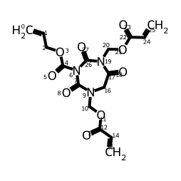 C=CCOC(=O)N1C(=O)N(COC(=O)C=C)CC(=O)N(COC(=O)C=C)C1=O